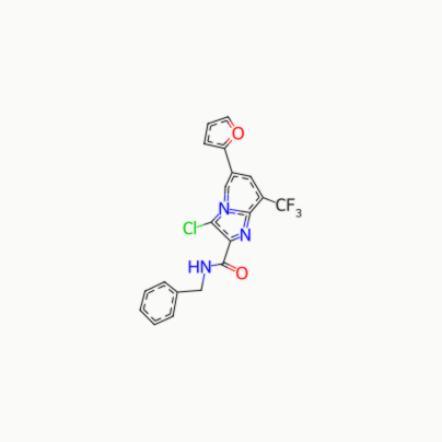 O=C(NCc1ccccc1)c1nc2c(C(F)(F)F)cc(-c3ccco3)cn2c1Cl